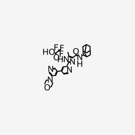 Cc1[nH]c(-c2cc(-c3cncc(N4CCOCC4)c3)ccn2)nc1C(=O)NC1C2CC3CC(C2)CC1C3.O=C(O)C(F)(F)F